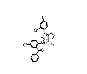 C[C@]1(C(=O)Nc2ccc(Cl)cc2C(=O)c2ccccc2)CCCN1Cc1ccc(Cl)cc1Cl